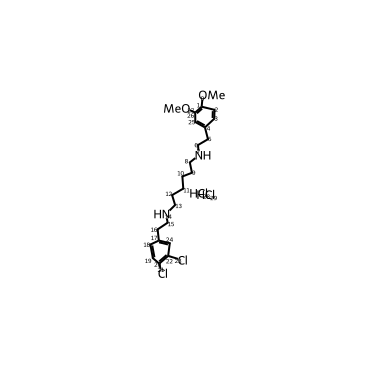 COc1ccc(CCNCCCCCCNCCc2ccc(Cl)c(Cl)c2)cc1OC.Cl.Cl